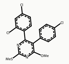 COc1nc(SC)nc(-c2ccc(Cl)cc2Cl)c1-c1ccc(Cl)cc1